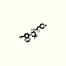 CN1CCC(CC(=O)N[C@@H]2CN(c3ccc(C#N)c4nccnc34)CC(F)(F)C2)CC1